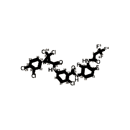 O=C(CC(F)(F)F)Nc1c(F)ccc(NC(=O)c2cc(NC(=O)C3[C@H](c4ccc(Cl)c(Cl)c4)C3(Cl)Cl)ccc2Cl)c1F